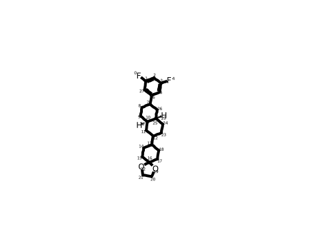 Fc1cc(F)cc(C2CC[C@@H]3CC(C4CCC5(CC4)OCCO5)CC[C@H]3C2)c1